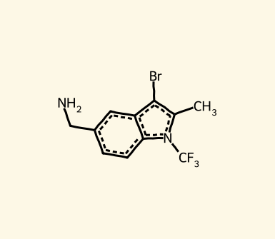 Cc1c(Br)c2cc(CN)ccc2n1C(F)(F)F